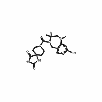 CN1CC(C)(C)N(C(=O)N2CCC3(CC2)NC(=O)NC3=O)Cc2cnc(C#N)nc21